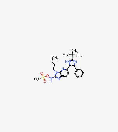 CCCCn1c(NOS(C)(=O)=O)nc2ccc(-c3[nH]c(C(C)(C)C)nc3-c3ccccc3)nc21